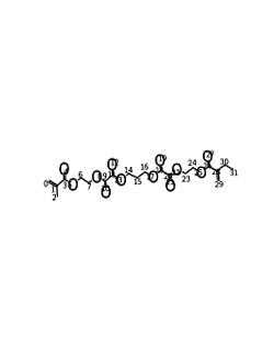 C=C(C)C(=O)OCCOC(=O)C(=O)OCCCOC(=O)C(=O)OCCOC(=O)C(=C)CC